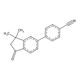 CC1(C)CC(=O)c2ccc(-c3ccc(C#N)cc3)cc21